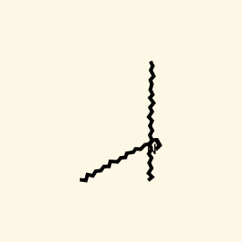 CCCCCCCCCCCCCCCCCc1ccc[n+](CCCCCCC)c1CCCCCCCCCCCCCCCCC